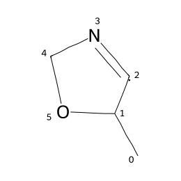 CC1[C]=NCO1